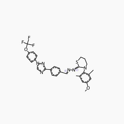 COc1cc(C)c(N2CCCS/C2=N\N=C\c2ccc(-c3ncn(-c4ccc(OC(F)(F)F)cc4)n3)cc2)c(C)c1